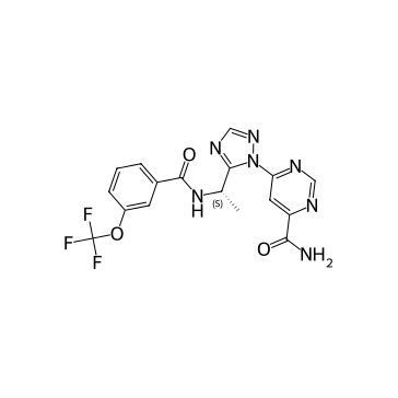 C[C@H](NC(=O)c1cccc(OC(F)(F)F)c1)c1ncnn1-c1cc(C(N)=O)ncn1